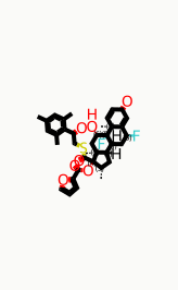 Cc1cc(C)c(C(=O)CSC(=O)[C@@]2(OC(=O)c3ccco3)[C@@H](C)C[C@H]3[C@@H]4C[C@H](F)C5=CC(=O)C=C[C@]5(C)[C@@]4(F)[C@@H](O)C[C@@]32C)c(C)c1